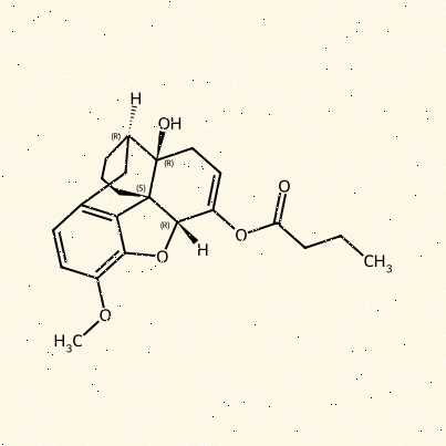 CCCC(=O)OC1=CC[C@@]2(O)[C@@H]3CCC[C@@]24c2c(ccc(OC)c2O[C@@H]14)C3